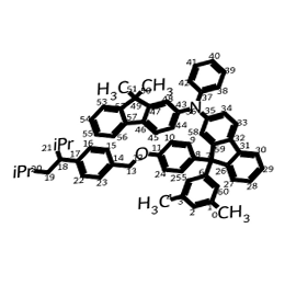 Cc1cc(C)cc(C2(c3ccc(OCc4ccc(C(CC(C)C)C(C)C)cc4)cc3)c3ccccc3-c3ccc(N(c4ccccc4)c4ccc5c(c4)C(C)(C)c4ccccc4-5)cc32)c1